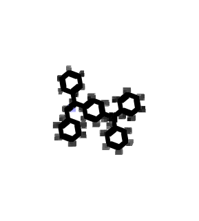 C(=C(\c1ccccc1)c1ccc(N(c2ccccc2)c2ccccc2)cc1)/c1ccccc1